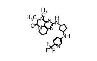 C[C@H]1C(=O)N2CCCc3nc(N[C@H]4CCC(Nc5ccc(C(F)(F)F)nc5)C4)nc(c32)N1C